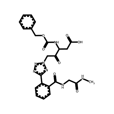 CNC(=O)CNC(=O)c1ccccc1-c1nnn(CC(=O)C(CC(=O)O)NC(=O)OCc2ccccc2)n1